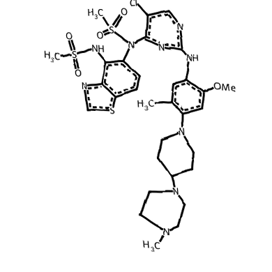 COc1cc(N2CCC(N3CCN(C)CC3)CC2)c(C)cc1Nc1ncc(Cl)c(N(c2ccc3scnc3c2NS(C)(=O)=O)S(C)(=O)=O)n1